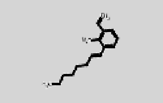 C=Cc1cccc(C=CCCCCCC)c1C